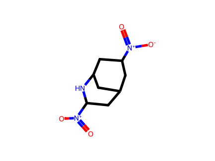 O=[N+]([O-])C1CC2CC(C1)NC([N+](=O)[O-])C2